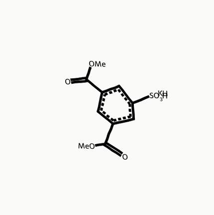 COC(=O)c1cc(C(=O)OC)cc(S(=O)(=O)O)c1.[KH]